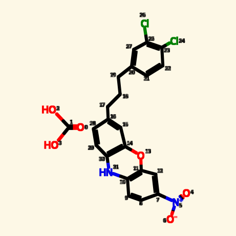 O=C(O)O.O=[N+]([O-])c1ccc2c(c1)Oc1cc(CCCc3ccc(Cl)c(Cl)c3)ccc1N2